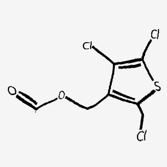 O=[C]OCc1c(Cl)sc(Cl)c1Cl